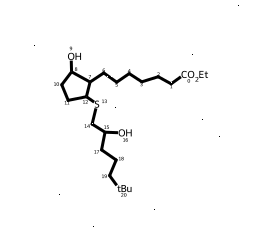 CCOC(=O)CCCCCCC1C(O)CCC1SCC(O)CCCC(C)(C)C